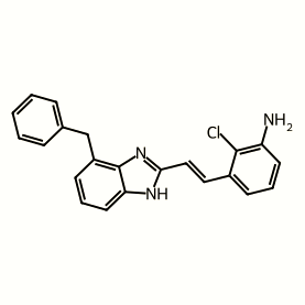 Nc1cccc(C=Cc2nc3c(Cc4ccccc4)cccc3[nH]2)c1Cl